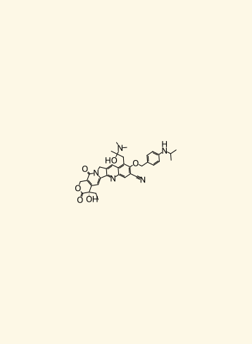 CC[C@@]1(O)C(=O)OCc2c1cc1n(c2=O)Cc2cc3c(CC(C)(O)N(C)C)c(OCc4ccc(NC(C)C)cc4)c(C#N)cc3nc2-1